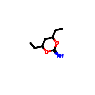 CCC1CC(CC)OC(=N)O1